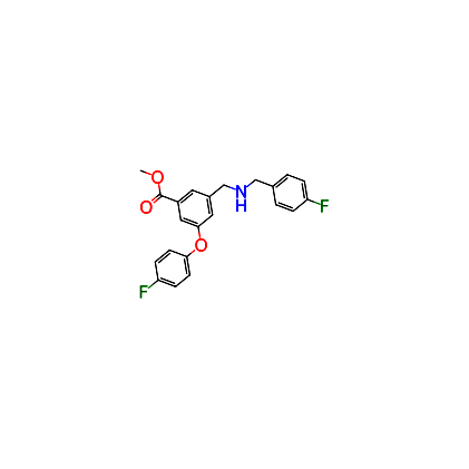 COC(=O)c1cc(CNCc2ccc(F)cc2)cc(Oc2ccc(F)cc2)c1